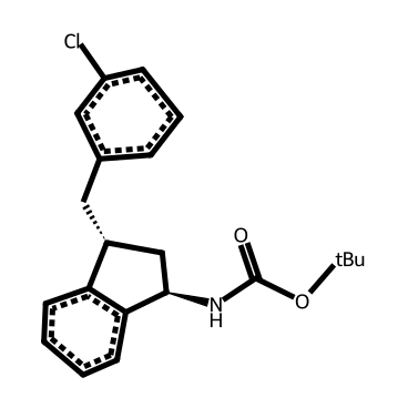 CC(C)(C)OC(=O)N[C@@H]1C[C@@H](Cc2cccc(Cl)c2)c2ccccc21